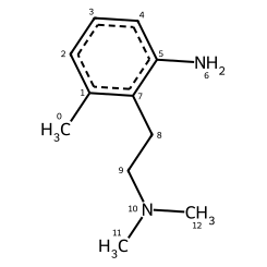 Cc1cccc(N)c1CCN(C)C